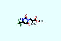 COC(=O)C(C)Cn1c(=O)cc(C(F)(F)F)[nH]c1=O